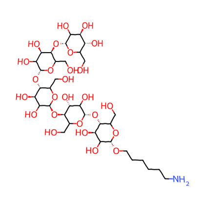 NCCCCCCO[C@H]1OC(CO)[C@@H](O[C@@H]2OC(CO)[C@@H](O[C@@H]3OC(CO)[C@@H](O[C@H]4OC(CO)[C@H](O[C@H]5OC(CO)[C@@H](O)[C@H](O)C5O)[C@H](O)C4O)[C@H](O)C3O)[C@H](O)C2O)[C@H](O)C1O